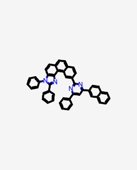 c1ccc(-c2cc(-c3ccc4ccccc4c3)nc(-c3ccc4ccc5ccc6c(nc(-c7ccccc7)n6-c6ccccc6)c5c4c3)n2)cc1